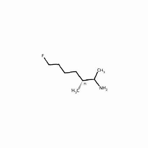 CC(N)[C@H](C)CCCCF